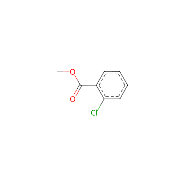 COC(=O)c1ccccc1Cl